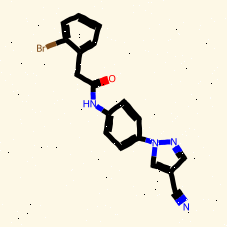 N#Cc1cnn(-c2ccc(NC(=O)Cc3ccccc3Br)cc2)c1